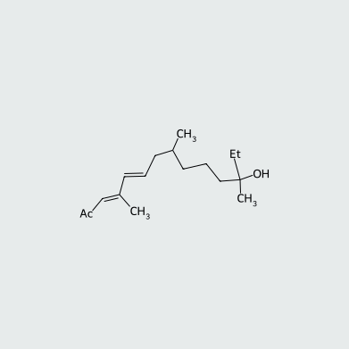 CCC(C)(O)CCCC(C)C/C=C/C(C)=C/C(C)=O